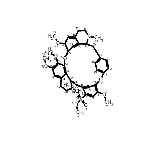 COc1cc(S(=O)(=O)OC)c2cc1Oc1ccc(cc1)CC1C3=CC(Oc4c(OC)c(OC)cc5c4[C@@H](C2)N(C)CC5)C(OC)C=C3CCN1C